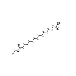 CCOC(=O)CCCCCCCCCCCCCCC(=O)O